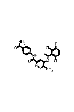 CC(Oc1cc(C(=O)Nc2ccc(C(N)=O)nc2)nnc1N)c1c(Cl)ccc(F)c1Cl